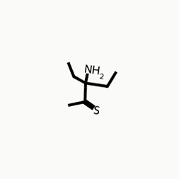 CCC(N)(CC)C(C)=S